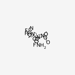 C=CCC1N(C(=O)c2cnccc2C(F)(F)F)CCCC1(Oc1ccc(N)c(F)c1)C(=O)N1CCN(c2ccccc2OCCOC)CC1